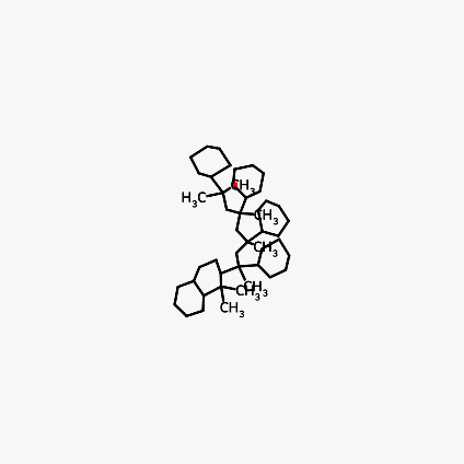 CC(C)(CC(C)(CC(C)(CC(C)(C1CCCCC1)C1CCC2CCCCC2C1(C)C)C1CCCCC1)C1CCCCC1)C1CCCCC1